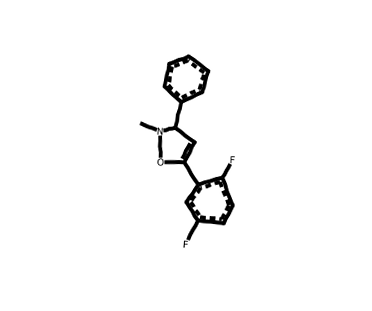 CN1OC(c2cc(F)ccc2F)=CC1c1ccccc1